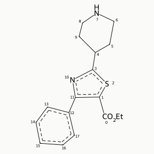 CCOC(=O)c1sc(C2CCNCC2)nc1-c1ccccc1